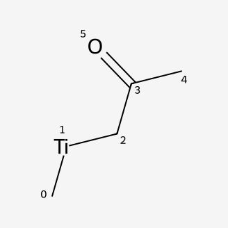 [CH3][Ti][CH2]C(C)=O